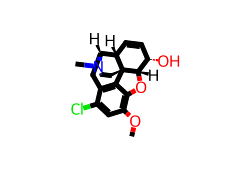 COc1cc(Cl)c2c3c1O[C@H]1[C@@H](O)C=C[C@H]4[C@@H](C2)N(C)CC[C@@]341